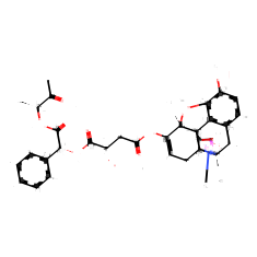 CC(=O)[C@H](C)OC(=O)[C@@H](OC(=O)[C@@H](O)CC(=O)OC1=CC[C@@]2(O)[C@H]3Cc4ccc(O)c5c4[C@@]2(CCN3C)[C@H]1O5)c1ccccc1